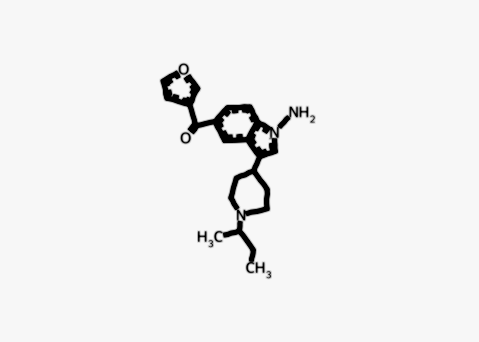 CCC(C)N1CCC(c2cn(N)c3ccc(C(=O)c4ccoc4)cc23)CC1